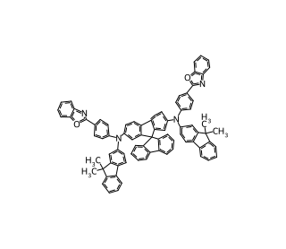 CC1(C)c2ccccc2-c2ccc(N(c3ccc(-c4nc5ccccc5o4)cc3)c3ccc4c(c3)C3(c5ccccc5-c5ccccc53)c3cc(N(c5ccc(-c6nc7ccccc7o6)cc5)c5ccc6c(c5)C(C)(C)c5ccccc5-6)ccc3-4)cc21